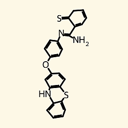 NC(=Nc1ccc(Oc2ccc3c(c2)Nc2ccccc2S3)cc1)C1=CC=CCC1=S